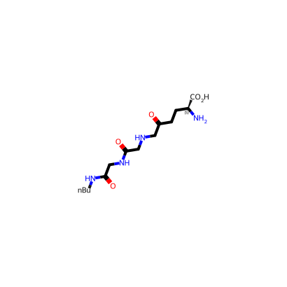 CCCCNC(=O)CNC(=O)CNCC(=O)CC[C@H](N)C(=O)O